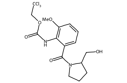 COc1cccc(C(=O)N2CCCC2CO)c1NC(=O)OCC(Cl)(Cl)Cl